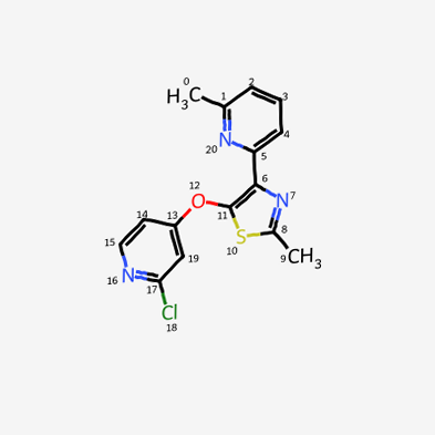 Cc1cccc(-c2nc(C)sc2Oc2ccnc(Cl)c2)n1